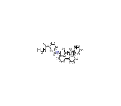 C=C(N)c1cccc(/C(C)=N/c2cccc(-c3ccccc3)c2C(=C)NCc2ccccn2)c1